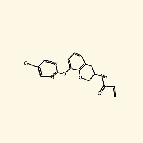 C=CC(=O)NC1COc2c(cccc2Oc2ncc(Cl)cn2)C1